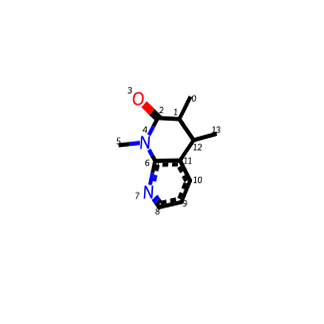 CC1C(=O)N(C)c2ncccc2C1C